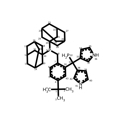 CC(C)(C)c1ccc(CP(C23CC4CC(CC(C4)C2)C3)C23CC4CC(CC(C4)C2)C3)c(C(P)(c2cc[nH]c2)c2cc[nH]c2)c1